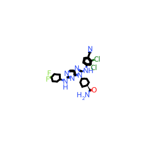 N#Cc1ccc(Nc2nc3cnc(NC4CCC(F)(F)CC4)nc3n2[C@H]2CC[C@H](C(N)=O)CC2)c(Cl)c1Cl